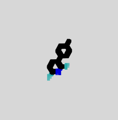 Cc1ccc(-c2ccc(F)nc2F)cc1